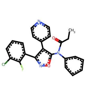 CCC(=O)N(c1ccccc1)c1onc(-c2cccc(Cl)c2F)c1-c1ccncc1